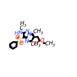 CCOC(=O)Cc1c(C)nc2c(S(=O)(=O)c3ccccc3)c(NC)nn2c1C